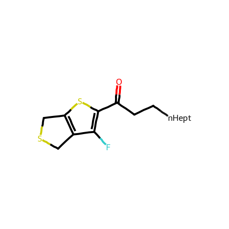 CCCCCCCCCC(=O)c1sc2c(c1F)CSC2